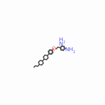 CCCC1CCC(C2CCC(c3ccc(OCCc4ccc(N)cc4N)cc3)CC2)CC1